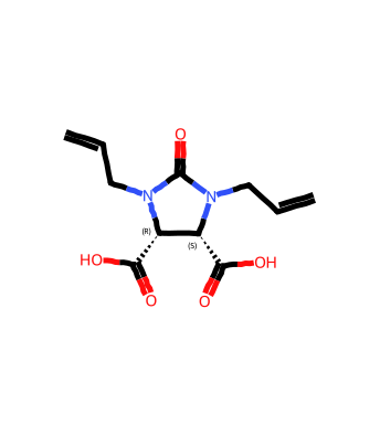 C=CCN1C(=O)N(CC=C)[C@@H](C(=O)O)[C@H]1C(=O)O